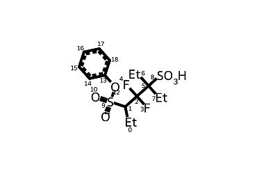 CCC(C(F)(F)C(CC)(CC)S(=O)(=O)O)S(=O)(=O)Oc1ccccc1